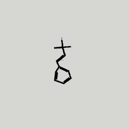 CC(C)(I)/C=C/c1ccccc1